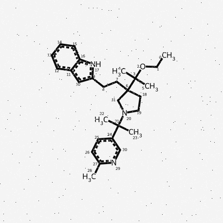 CCOC(C)(C)C1(CCc2cc3ccccc3[nH]2)CCN(C(C)(C)c2ccc(C)nc2)C1